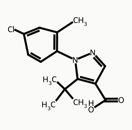 Cc1cc(Cl)ccc1-n1ncc(C(=O)O)c1C(C)(C)C